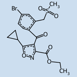 CCOC(=O)c1noc(C2CC2)c1C(=O)c1ccc(Br)cc1CS(C)(=O)=O